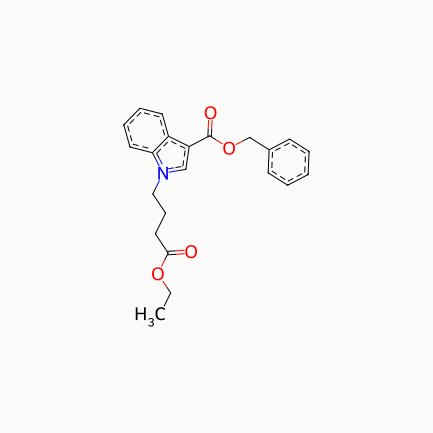 CCOC(=O)CCCn1cc(C(=O)OCc2ccccc2)c2ccccc21